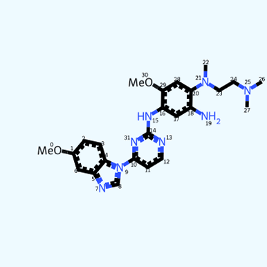 COc1ccc2c(c1)ncn2-c1ccnc(Nc2cc(N)c(N(C)CCN(C)C)cc2OC)n1